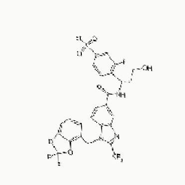 CCS(=O)(=O)c1ccc([C@H](CCO)NC(=O)c2ccc3c(c2)nc(C(F)(F)F)n3Cc2cccc3c2OC(F)(F)O3)c(F)c1